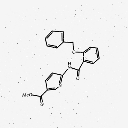 COC(=O)c1ccc(NC(=O)c2ccccc2OCc2ccccc2)nc1